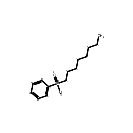 CCCCCCCCP(=O)(Cl)c1ccccc1